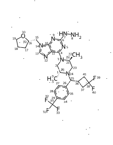 C[C@@H]1CN(c2nc(NN)nc3c2ncn3C[C@@H]2CCCO2)[C@@H](C)CN1C(c1ccc(C(F)(F)F)cc1)C1CC(F)(F)C1